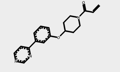 C=CC(=O)N1CCC(Oc2cccc(-c3ccncn3)c2)CC1